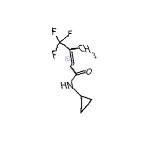 C/C(=C\C(=O)NC1CC1)C(F)(F)F